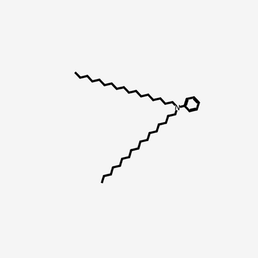 CCCCCCCCCCCCCCCCCN(CCCCCCCCCCCCCCCCC)c1ccccc1